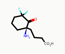 N[C@@]1(CCCC(=O)O)CCCC(F)(F)C1=O